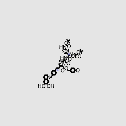 COc1ccc(COC(=O)C2=C(/C=C/c3ccc(C[n+]4cccc5cc(O)c(O)cc54)cc3)CS[C@@H]3[C@H](NC(=O)/C(=N\OC(C)(C)C(=O)OC(C)(C)C)c4csc(NC(=O)OC(C)(C)C)n4)C(=O)N23)cc1